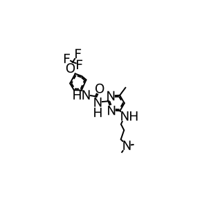 Cc1cc(NCCCN(C)C)nc(NC(=O)Nc2ccc(OC(F)(F)F)cc2)n1